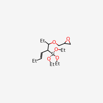 CCC=CC(C(CC)OCC1CO1)[Si](OCC)(OCC)OCC